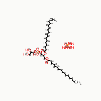 CCCCCCCCCCCCCCCC(=O)OCC(COP(=O)(O)OC[C@@H](O)CO)OC(=O)CCCCCCCCCCCCCCC.O=P(O)(O)O